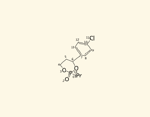 CC(C)P1(=O)OCCC(c2ccc(Cl)cc2)O1